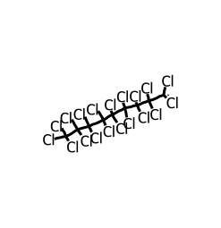 Cl[C](Cl)C(Cl)(Cl)C(Cl)(Cl)C(Cl)(Cl)C(Cl)(Cl)C(Cl)(Cl)C(Cl)(Cl)C(Cl)(Cl)C(Cl)(Cl)Cl